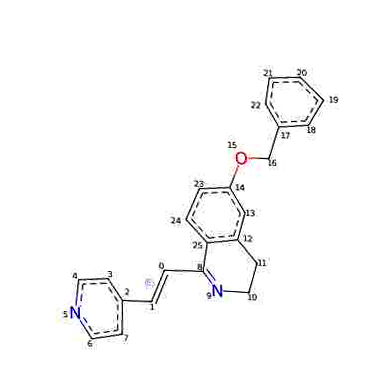 C(=C\c1ccncc1)/C1=NCCc2cc(OCc3ccccc3)ccc21